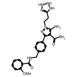 COc1ccccc1C(=O)NCc1ccc(-c2nn(CCC3=NNNN3)c(N)c2C(N)=O)cc1